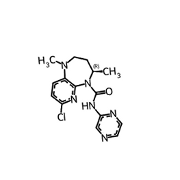 C[C@@H]1CCN(C)c2ccc(Cl)nc2N1C(=O)Nc1cnccn1